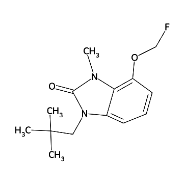 Cn1c(=O)n(CC(C)(C)C)c2cccc(OCF)c21